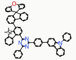 C[Si]1(C)c2ccccc2-c2c(-c3nc(-c4ccccc4)nc(-c4ccc(-c5ccc6c(c5)c5ccccc5n6-c5ccccc5)cc4)n3)ccc(-c3cccc4c3-c3ccccc3C43c4ccccc4Oc4ccccc43)c21